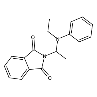 CCN(c1ccccc1)C(C)N1C(=O)c2ccccc2C1=O